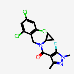 Cc1nn(C)c(F)c1C(=O)N(Cc1c(Cl)cc(Cl)cc1Cl)C1CC1